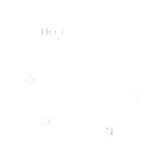 O=C(O)c1cc2scnc2c2c1OCO2